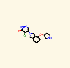 O=c1[nH]ncc(N2Cc3cccc(OC4CCNC4)c3C2)c1Cl